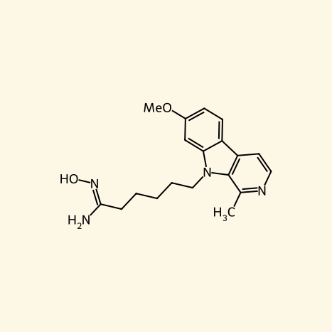 COc1ccc2c3ccnc(C)c3n(CCCCCC(N)=NO)c2c1